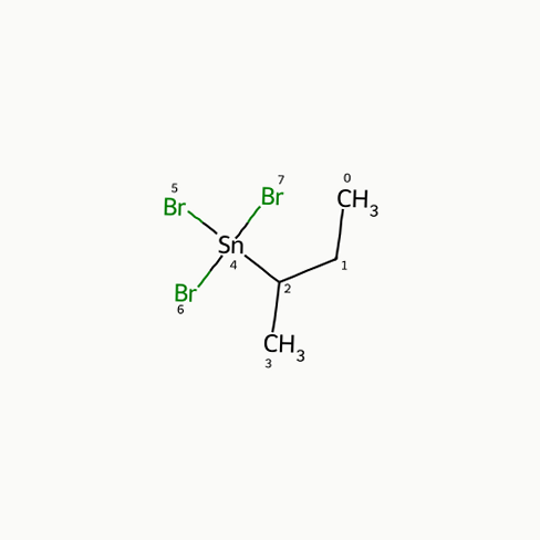 CC[CH](C)[Sn]([Br])([Br])[Br]